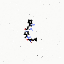 CC(NC(=O)c1cc(C2CC2)on1)C1CCN(C(=O)[C@H](N)Cc2c[nH]c3ccccc23)CC1